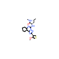 CCC[C@@H](Nc1nc2ccccc2c2nc(-c3cscc3OC)nn12)C(=O)NC